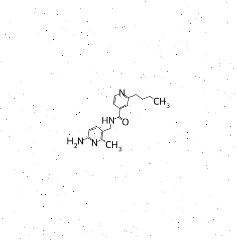 CCCCc1cc(C(=O)NCc2ccc(N)nc2C)ccn1